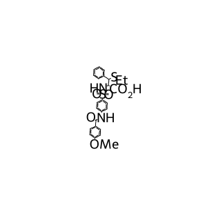 CCSC(c1ccccc1)C(NS(=O)(=O)c1ccc(NC(=O)c2ccc(OC)cc2)cc1)C(=O)O